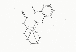 COc1cccnc1COC1C2CC3CC(C2)CC1(CC=O)C3